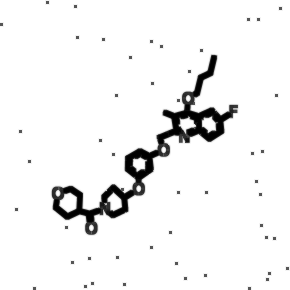 CCCCOc1c(C)c(COc2cccc(OC3CCN(C(=O)C4CCOCC4)CC3)c2)nc2ccc(F)cc12